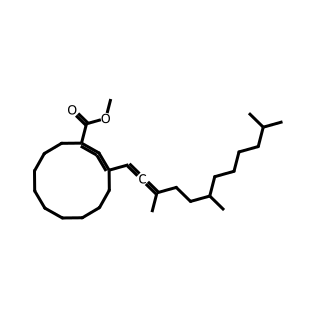 COC(=O)C1=C=C(C=C=C(C)CCC(C)CCCCC(C)C)CCCCCCCCC1